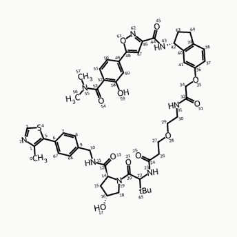 Cc1ncsc1-c1ccc(CNC(=O)[C@@H]2C[C@@H](O)CN2C(=O)C(NC(=O)CCOCCNC(=O)COc2ccc3c(c2)[C@H](NC(=O)c2cc(-c4ccc(C(=O)N(C)C)c(O)c4)on2)CC3)C(C)(C)C)cc1